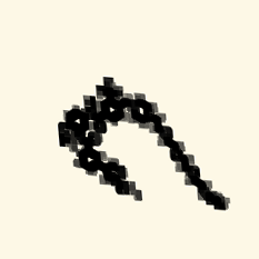 Cc1ccc(NC(=O)c2ccc(CN3CCN(CCOCCOCCOCCN=[N+]=[N-])CC3)c(C(F)(F)F)c2)cc1NC(=O)c1cccc(-c2cnn(C)c2)c1